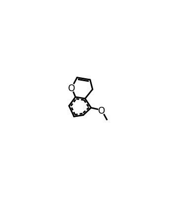 COc1cccc2c1CC=CO2